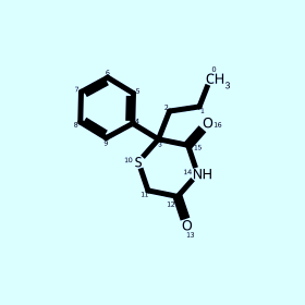 CCCC1(c2ccccc2)SCC(=O)NC1=O